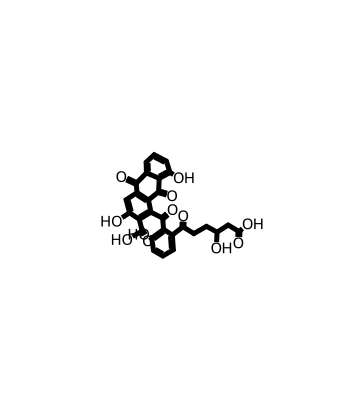 O=C(O)CC(O)CCC(=O)c1cccc(O)c1C(=O)c1c(C(=O)O)c(O)cc2c1C(=O)c1c(O)cccc1C2=O